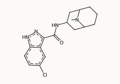 CN1C2CCCC1CC(NC(=O)c1n[nH]c3ccc(Cl)cc13)C2